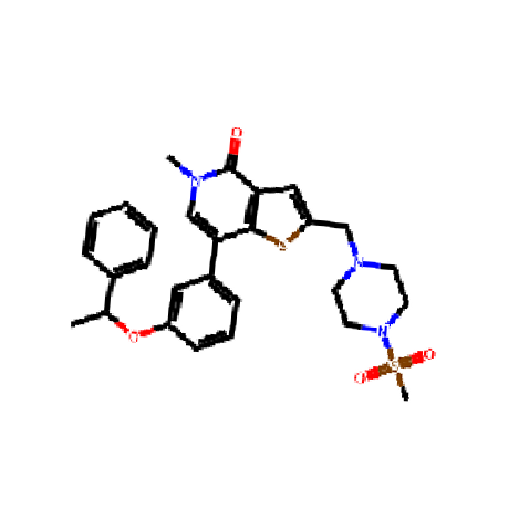 CC(Oc1cccc(-c2cn(C)c(=O)c3cc(CN4CCN(S(C)(=O)=O)CC4)sc23)c1)c1ccccc1